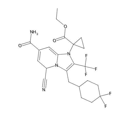 CCOC(=O)C1(N2C3=CC(C(N)=O)=CC(C#N)N3C(CC3CCC(F)(F)CC3)=C2C(F)(F)F)CC1